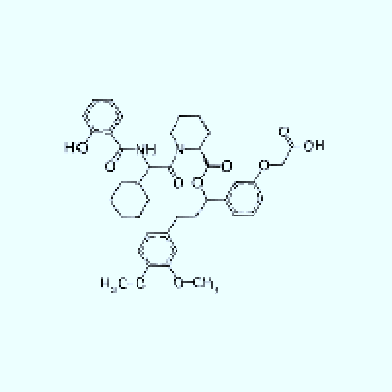 COc1ccc(CCC(OC(=O)[C@@H]2CCCCN2C(=O)C(NC(=O)c2ccccc2O)C2CCCCC2)c2cccc(OCC(=O)O)c2)cc1OC